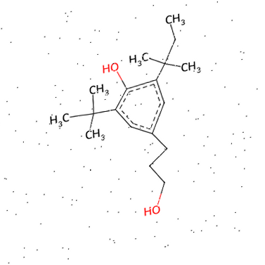 CCC(C)(C)c1cc(CCCO)cc(C(C)(C)C)c1O